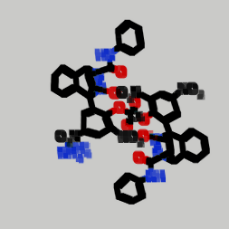 O=C(Nc1ccccc1)C1=C([O-])C2(c3cc([N+](=O)[O-])cc([N+](=O)[O-])c3[O][Cr](=[O])(=[O])[O]c3c([N+](=O)[O-])cc([N+](=O)[O-])cc3C34N=NC(C(C(=O)Nc5ccccc5)=C3[O-])c3ccccc34)N=NC1c1ccccc12.[NH4+].[NH4+]